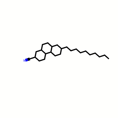 CCCCCCCCCCC1CCC2C(CCC3CC(C#N)CCC32)C1